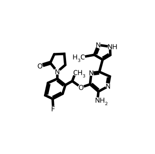 Cc1n[nH]cc1-c1cnc(N)c(OC(C)c2cc(F)ccc2N2CCCC2=O)n1